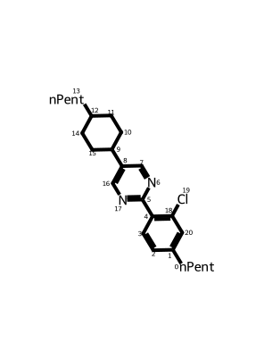 CCCCCc1ccc(-c2ncc(C3CCC(CCCCC)CC3)cn2)c(Cl)c1